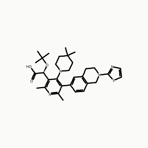 Cc1nc(C)c([C@H](OC(C)(C)C)C(=O)O)c(N2CCC(C)(C)CC2)c1-c1ccc2c(c1)CCN(c1nccs1)C2